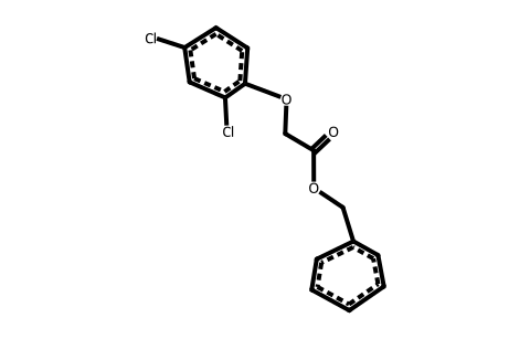 O=C(COc1ccc(Cl)cc1Cl)OCc1ccccc1